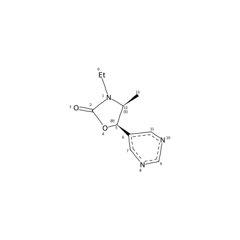 CCN1C(=O)O[C@H](c2cncnc2)[C@@H]1C